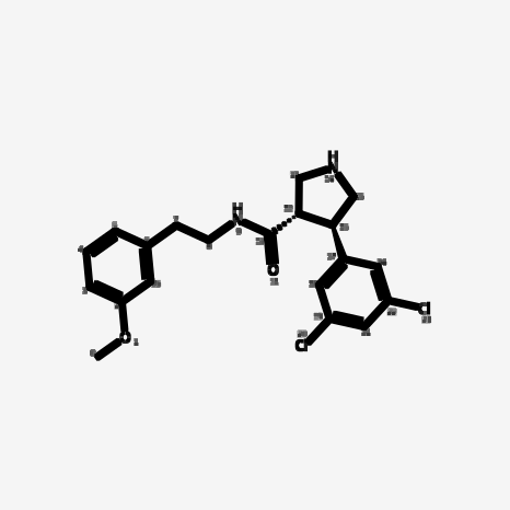 COc1cccc(CCNC(=O)[C@@H]2CNC[C@H]2c2cc(Cl)cc(Cl)c2)c1